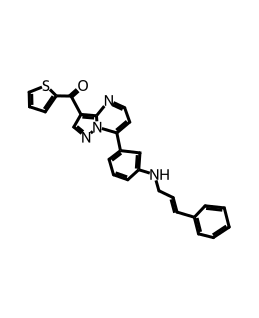 O=C(c1cccs1)c1cnn2c(-c3cccc(NCC=Cc4ccccc4)c3)ccnc12